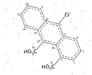 O=C(O)c1cccc2c(Cl)c3ccccc3c(C(=O)O)c12